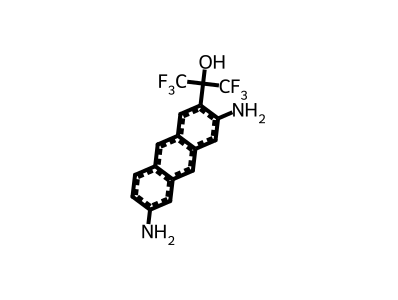 Nc1ccc2cc3cc(C(O)(C(F)(F)F)C(F)(F)F)c(N)cc3cc2c1